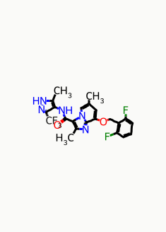 Cc1cc(OCc2c(F)cccc2F)c2nc(C)c(C(=O)Nc3c(C(F)(F)F)n[nH]c3C)n2c1